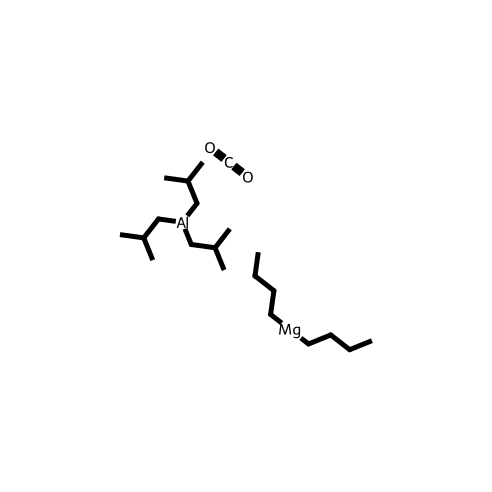 CC(C)[CH2][Al]([CH2]C(C)C)[CH2]C(C)C.CCC[CH2][Mg][CH2]CCC.O=C=O